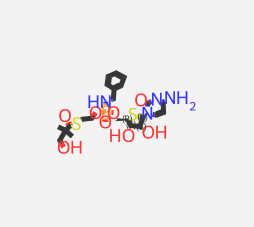 CC(C)(CO)C(=O)SCCOP(=O)(NCc1ccccc1)OC[C@H]1S[C@@H](n2ccc(N)nc2=O)[C@@H](O)[C@@H]1O